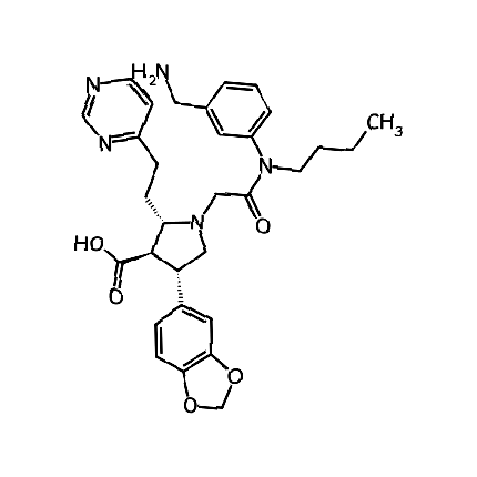 CCCCN(C(=O)CN1C[C@H](c2ccc3c(c2)OCO3)[C@@H](C(=O)O)[C@@H]1CCc1ccncn1)c1cccc(CN)c1